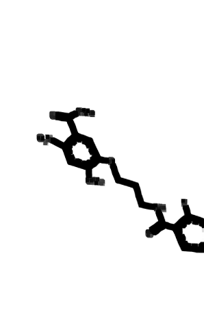 COC(=O)c1cc(OCCCNC(=O)c2ccccc2F)c(OC)cc1[N+](=O)[O-]